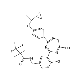 CC(Oc1ccc(C2=NCC(O)=NC(c3cc(CNC(=O)C(C)(C)C(F)(F)F)ccc3Cl)=N2)cc1)C1CC1